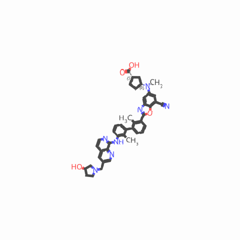 Cc1c(Nc2nccc3cc(CN4CCC(O)C4)cnc23)cccc1-c1cccc(-c2nc3cc(N(C)[C@@H]4CC[C@H](C(=O)O)C4)cc(C#N)c3o2)c1C